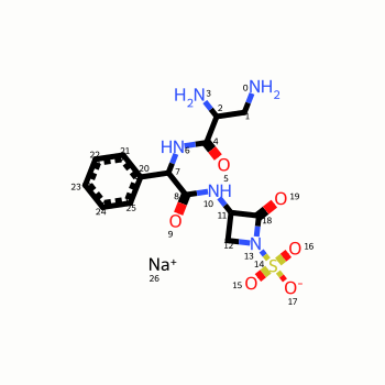 NCC(N)C(=O)NC(C(=O)NC1CN(S(=O)(=O)[O-])C1=O)c1ccccc1.[Na+]